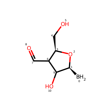 B[C@@H]1O[C@H](CO)C(C=O)C1O